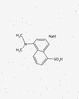 CN(C)c1cccc2c(S(=O)(=O)O)cccc12.[NaH]